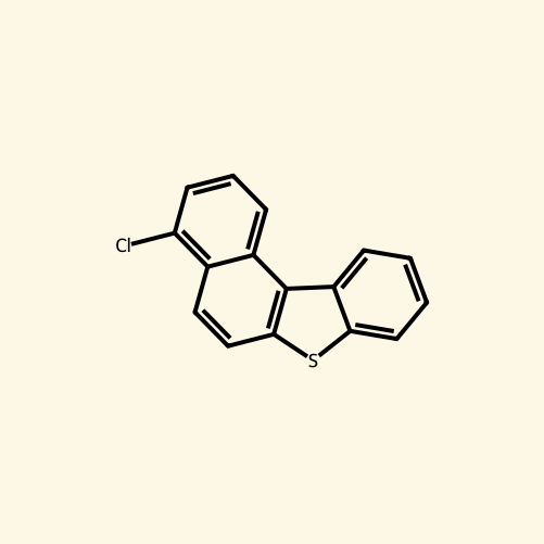 Clc1cccc2c1ccc1sc3ccccc3c12